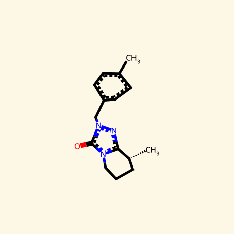 Cc1ccc(Cn2nc3n(c2=O)CCC[C@H]3C)cc1